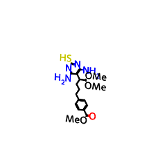 COC(=O)c1ccc(CCCC(c2c(N)nc(S)nc2N)C(OC)OC)cc1